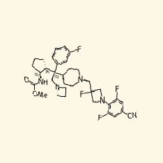 COC(=O)N[C@H]1CCC[C@@H]1[C@](CN1CCC1)(c1cccc(F)c1)C1CCN(CC2(F)CN(c3c(F)cc(C#N)cc3F)C2)CC1